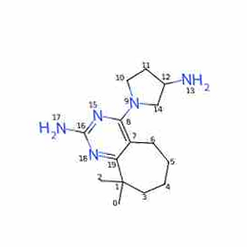 CC1(C)CCCCc2c(N3CCC(N)C3)nc(N)nc21